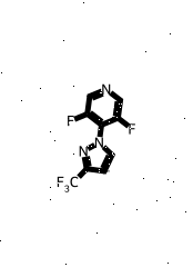 Fc1cncc(F)c1-n1c[c]c(C(F)(F)F)n1